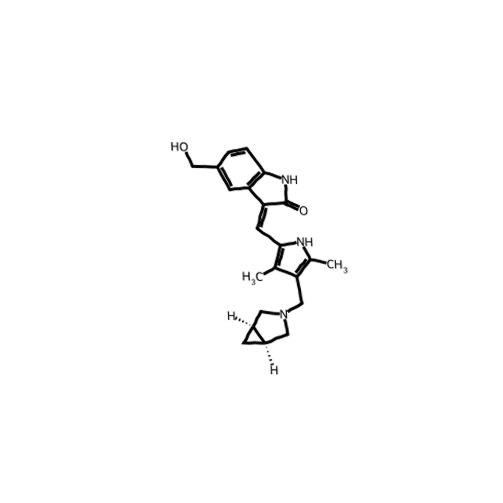 Cc1[nH]c(/C=C2\C(=O)Nc3ccc(CO)cc32)c(C)c1CN1C[C@H]2C[C@H]2C1